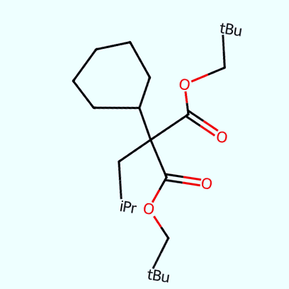 CC(C)CC(C(=O)OCC(C)(C)C)(C(=O)OCC(C)(C)C)C1CCCCC1